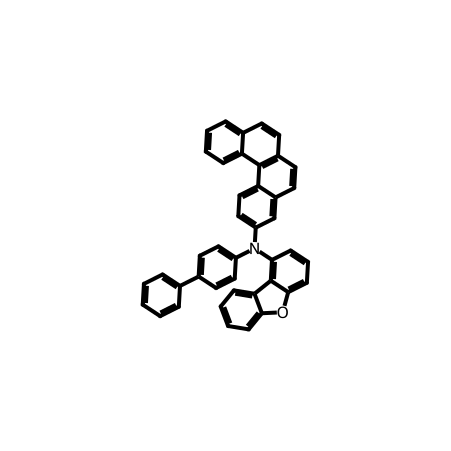 c1ccc(-c2ccc(N(c3ccc4c(ccc5ccc6ccccc6c54)c3)c3cccc4oc5ccccc5c34)cc2)cc1